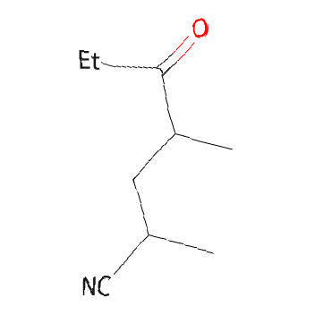 CCC(=O)C(C)CC(C)C#N